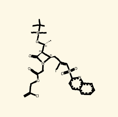 C=C(Cl)COC(=O)CN1C(=O)[C@@H]([C@@H](C)O[Si](C)(C)C(C)(C)C)[C@H]1CC(I)=CS(=O)(=O)c1ccc2ccccc2n1